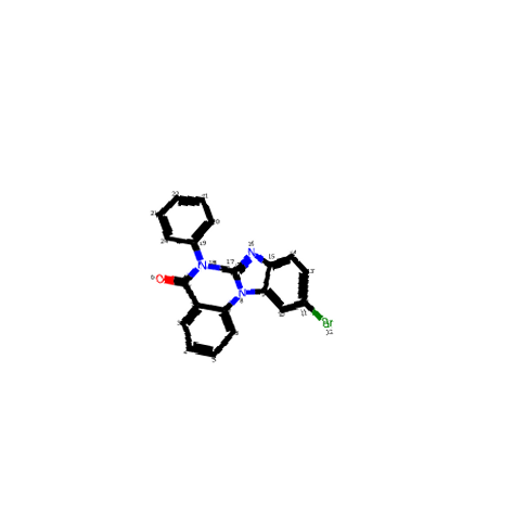 O=c1c2ccccc2n2c3cc(Br)ccc3nc2n1-c1ccccc1